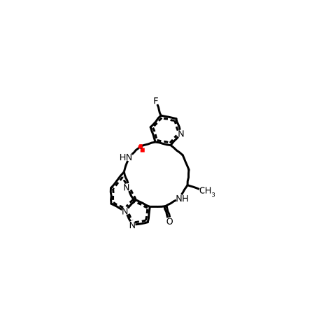 CC1CCc2ncc(F)cc2C2(CCC2)Nc2ccn3ncc(c3n2)C(=O)N1